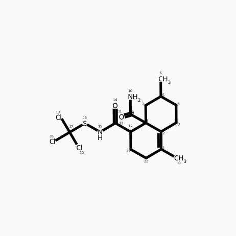 CC1=C2CCC(C)CC2(C(N)=O)C(C(=O)NSC(Cl)(Cl)Cl)CC1